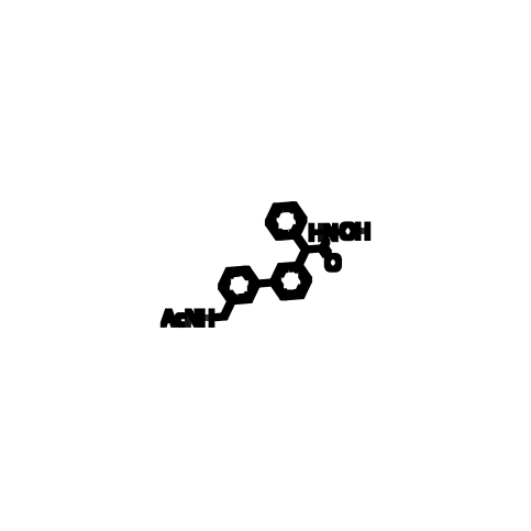 CC(=O)NCc1cccc(-c2cccc(C(C(=O)NO)c3ccccc3)c2)c1